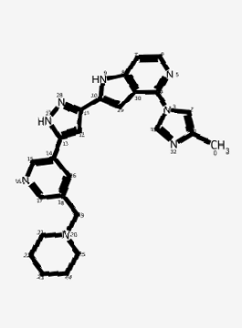 Cc1cn(-c2nccc3[nH]c(-c4cc(-c5cncc(CN6CCCCC6)c5)[nH]n4)cc23)cn1